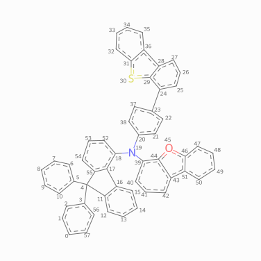 c1ccc(C2(c3ccccc3)c3ccccc3-c3c(N(c4ccc(-c5cccc6c5sc5ccccc56)cc4)c4cccc5c4oc4ccccc45)cccc32)cc1